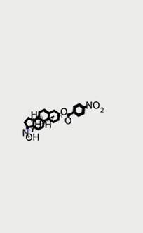 C[C@]12CC[C@H](OC(=O)c3ccc([N+](=O)[O-])cc3)CC1=CC[C@@H]1[C@@H]2CC[C@]2(C)/C(=N\O)CC[C@@H]12